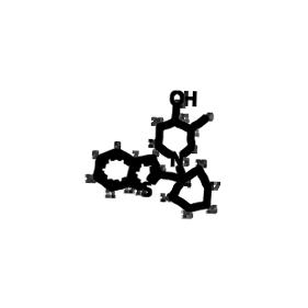 CC1CN(C2(c3cc4ccccc4s3)CCCCC2)CCC1O